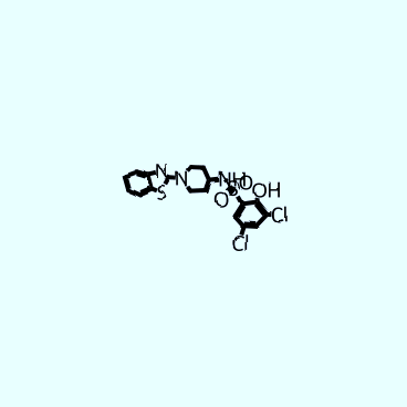 O=S(=O)(NC1CCN(c2nc3ccccc3s2)CC1)c1cc(Cl)cc(Cl)c1O